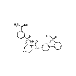 N=C(N)c1cccc(S(=O)(=O)NC2(C(=O)Nc3ccc(-c4ccccc4S(N)(=O)=O)cc3)CCNCC2)c1